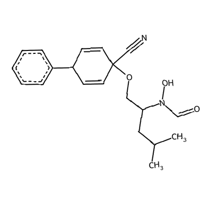 CC(C)CC(COC1(C#N)C=CC(c2ccccc2)C=C1)N(O)C=O